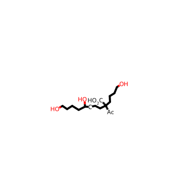 CC(=O)C(CCCCO)(CCCC(O)CCCCO)C(=O)O